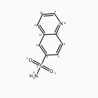 NS(=O)(=O)c1ccc2nc[c]cc2c1